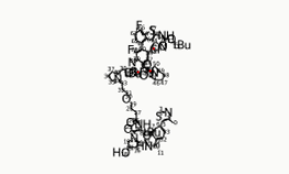 Cc1ncsc1-c1ccc([C@H](C)NC(=O)[C@@H]2C[C@@H](O)CN2C(=O)[C@@H](NC(=O)CCCOCCCN2CCC[C@H]2COc2nc(N3CC4CCC(C3)N4C(=O)OC(C)(C)C)c3cc(Cl)c(-c4ccc(F)c5sc(NC(=O)OC(C)(C)C)c(C#N)c45)c(F)c3n2)C(C)(C)C)cc1